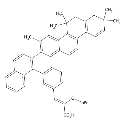 CCCOC(=Cc1cccc(-c2c(-c3cc4ccc5c(c4cc3C)C(C)(C)CC3=C5C=CC(C)(C)C3)ccc3ccccc23)c1)C(=O)O